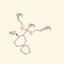 C=CCOC(C)(OCC=C)C1CC2(CCCC2)CC[C@H]1C